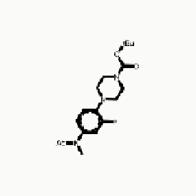 CC(=O)N(C)c1ccc(N2CCN(C(=O)OC(C)(C)C)CC2)c(F)c1